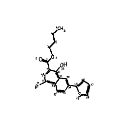 CCCCOC(=O)c1nc(Br)c2ccc(-c3cccs3)cc2c1O